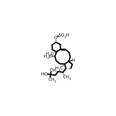 C[C@H](CCC(C)(C)O)[C@H]1CC[C@H]2CC/C=C3/C[C@@H](OS(=O)(=O)O)CC[C@]3(C)[C@H](C)CC[C@@]21C